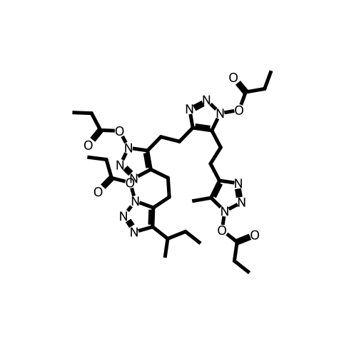 CCC(=O)On1nnc(CCc2c(CCc3c(CCc4c(C(C)CC)nnn4OC(=O)CC)nnn3OC(=O)CC)nnn2OC(=O)CC)c1C